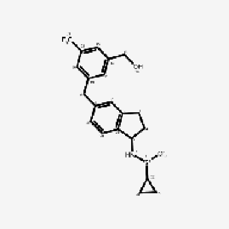 [O-][S+](NC1CCc2cc(Cc3cc(CO)cc(C(F)(F)F)c3)ccc21)C1CC1